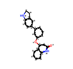 O=c1cc(Oc2cccc(-c3ccc4c(c3)CCN4)c2)c2ccccc2[nH]1